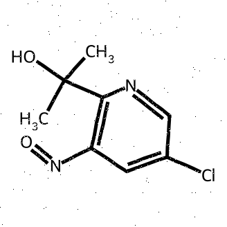 CC(C)(O)c1ncc(Cl)cc1N=O